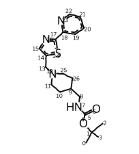 CC(C)(C)OC(=O)NCC1CCN(Cc2cnc(-c3ccccn3)s2)CC1